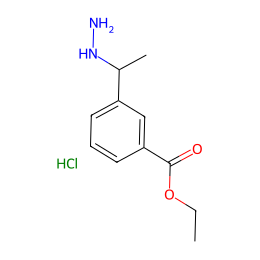 CCOC(=O)c1cccc(C(C)NN)c1.Cl